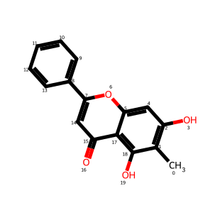 Cc1c(O)cc2oc(-c3ccccc3)cc(=O)c2c1O